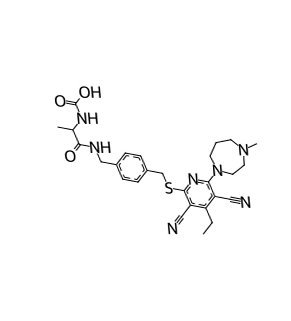 CCc1c(C#N)c(SCc2ccc(CNC(=O)C(C)NC(=O)O)cc2)nc(N2CCCN(C)CC2)c1C#N